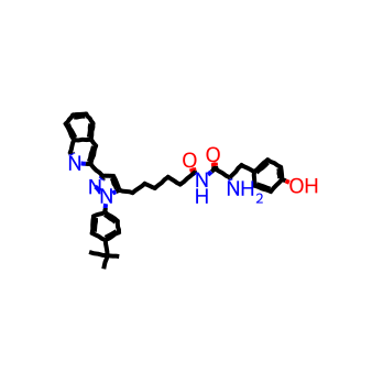 CC(C)(C)c1ccc(-n2nc(-c3cc4ccccc4cn3)cc2CCCCCC(=O)NC(=O)C(N)Cc2ccc(O)cc2)cc1